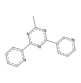 Ic1nc(-c2cccnc2)nc(-c2ccccn2)n1